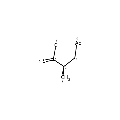 CC(=O)C[C@@H](C)C(=S)Cl